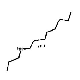 CCCCCCCCNCCC.Cl